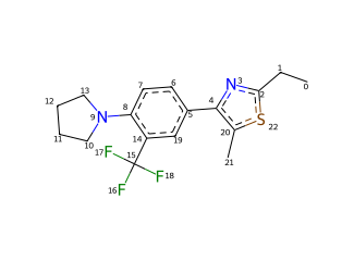 CCc1nc(-c2ccc(N3CCCC3)c(C(F)(F)F)c2)c(C)s1